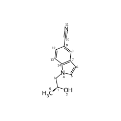 C[C@H](O)Cn1ccc2cc(C#N)ccc21